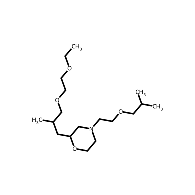 CCOCCOCC(C)CC1CN(CCOCC(C)C)CCO1